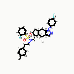 Cc1ccc(CCN(C[C@H]2CCC3=C2[C@@H](C)c2cnn(-c4ccc(F)cc4)c2C3)S(=O)(=O)c2ccccc2F)cc1